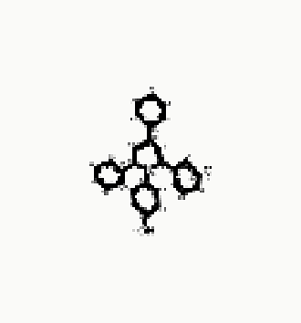 O.Oc1ccc(N2C(c3ccccc3)=CC(c3ccccc3)=CC2c2ccccc2)cc1